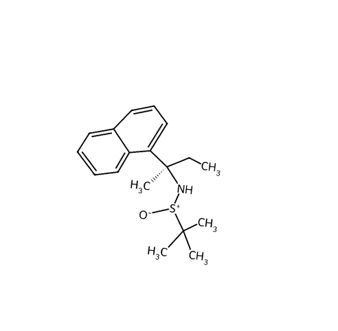 CC[C@@](C)(N[S+]([O-])C(C)(C)C)c1cccc2ccccc12